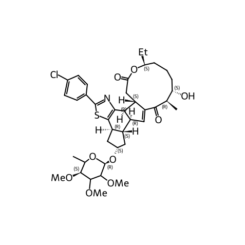 CC[C@H]1CCC[C@H](O)[C@@H](C)C(=O)C2=C[C@H]3[C@@H]4C[C@H](O[C@@H]5OC(C)[C@H](OC)C(OC)C5OC)C[C@H]4c4sc(-c5ccc(Cl)cc5)nc4[C@H]3[C@@H]2CC(=O)O1